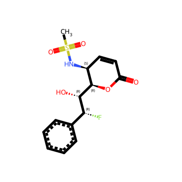 CS(=O)(=O)N[C@H]1C=CC(=O)O[C@H]1[C@@H](O)[C@H](F)c1ccccc1